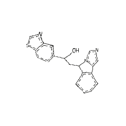 OC(CC1c2ccccc2-c2cncn21)c1ccc2scnc2c1